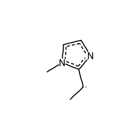 C[CH]c1nccn1C